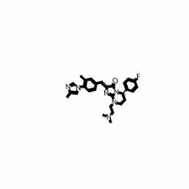 Cc1cn(-c2ccc(/C=C3\N=C4N(CCN(C)C)CC[C@H](c5ccc(F)cc5)N4C3=O)cc2C)cn1